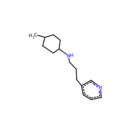 CC1CCC(NCCCc2cccnc2)CC1